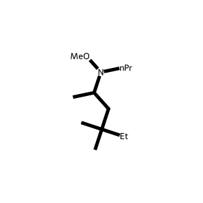 CCCN(OC)C(C)CC(C)(C)CC